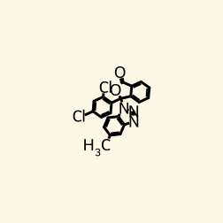 Cc1ccc2c(c1)nnn2C1(c2ccc(Cl)cc2Cl)OC(=O)c2ccccc21